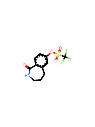 O=C1NCCCc2cc(OS(=O)(=O)C(F)(F)F)ccc21